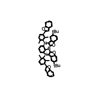 Cc1ccc(-c2cc3ccccc3o2)c(C)c1N1c2cccc3c2B(c2oc4ccc(C(C)(C)C)cc4c21)c1oc2ccc(C(C)(C)C)cc2c1N3c1c(C)ccc(-c2cc3ccccc3o2)c1C